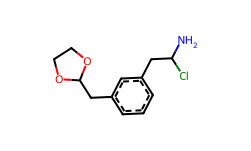 NC(Cl)Cc1cccc(CC2OCCO2)c1